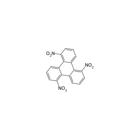 O=[N+]([O-])c1cccc2c1c1cccc([N+](=O)[O-])c1c1cccc([N+](=O)[O-])c21